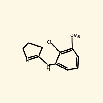 COc1cccc(NC2=NCCC2)c1Cl